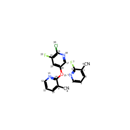 N#Cc1cccnc1F.N#Cc1cccnc1Oc1cnc(Cl)c(F)c1